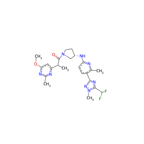 COc1cc(C(C)C(=O)N2CC[C@H](Nc3ccc(-c4nc(C(F)F)n(C)n4)c(C)n3)C2)nc(C)n1